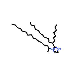 CCCCCCCCCCCCCCC(C)[n+]1cc[nH]c1C(CCCCCCC)CCCCCCCCCC